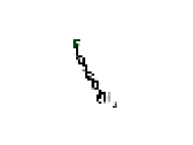 CCCC1CCC(C2CCC(CCC3CCC(CCCF)CC3)CC2)CC1